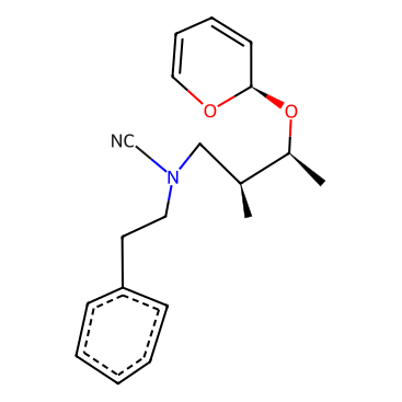 C[C@H](O[C@@H]1C=CC=CO1)[C@@H](C)CN(C#N)CCc1ccccc1